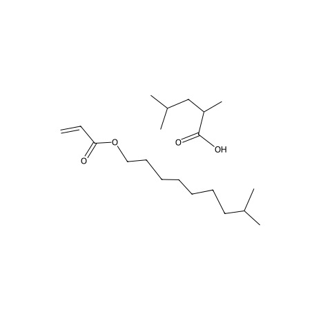 C=CC(=O)OCCCCCCCC(C)C.CC(C)CC(C)C(=O)O